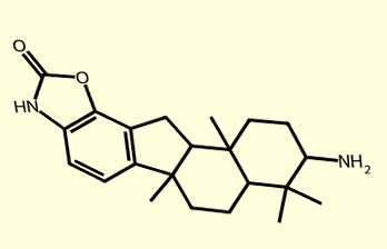 CC12CCC3C(C)(C)C(N)CCC3(C)C1Cc1c2ccc2[nH]c(=O)oc12